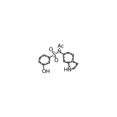 CC(=O)N(c1ccc2cc[nH]c2c1)S(=O)(=O)c1cccc(O)c1